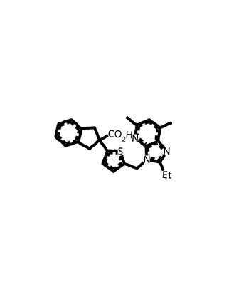 CCc1nc2c(C)cc(C)nc2n1Cc1ccc(C2(C(=O)O)Cc3ccccc3C2)s1